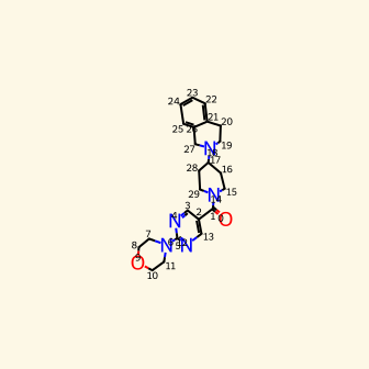 O=C(c1cnc(N2CCOCC2)nc1)N1CCC(N2CCc3ccccc3C2)CC1